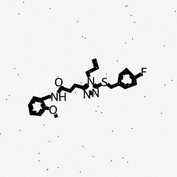 C=CCn1c(CCC(=O)NCc2ccccc2OC)nnc1SCc1ccc(F)cc1